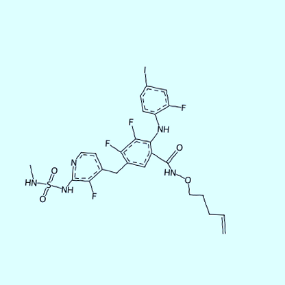 C=CCCCONC(=O)c1cc(Cc2ccnc(NS(=O)(=O)NC)c2F)c(F)c(F)c1Nc1ccc(I)cc1F